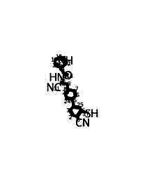 N#Cc1ccc(-c2ccc(C[C@@H](C#N)NC(=O)C3NC4CCC3CC4)cc2)cc1S